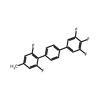 Cc1cc(F)c(-c2ccc(-c3cc(F)c(F)c(F)c3)cc2)c(F)c1